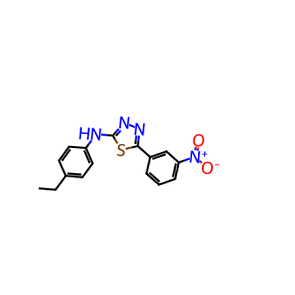 CCc1ccc(Nc2nnc(-c3cccc([N+](=O)[O-])c3)s2)cc1